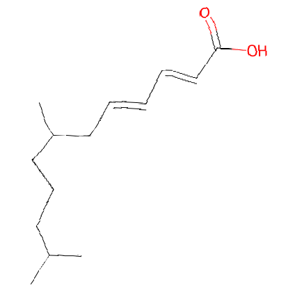 CC(C)CCCC(C)CC=CC=CC(=O)O